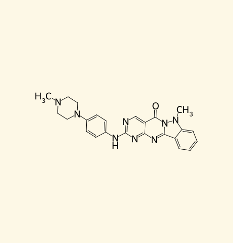 CN1CCN(c2ccc(Nc3ncc4c(=O)n5c(nc4n3)c3ccccc3n5C)cc2)CC1